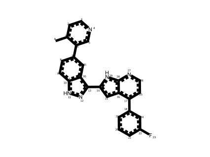 Cc1ccncc1-c1ccc2[nH]nc(-c3cc4c(-c5cccc(F)c5)ccnc4[nH]3)c2c1